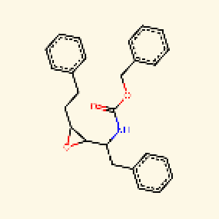 O=C(NC(Cc1ccccc1)C1OC1CCc1ccccc1)OCc1ccccc1